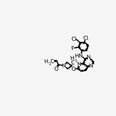 C=CC(=O)N1CC(C)(Oc2ccc3ncnc(Nc4ccc(Cl)c(Cl)c4F)c3n2)C1